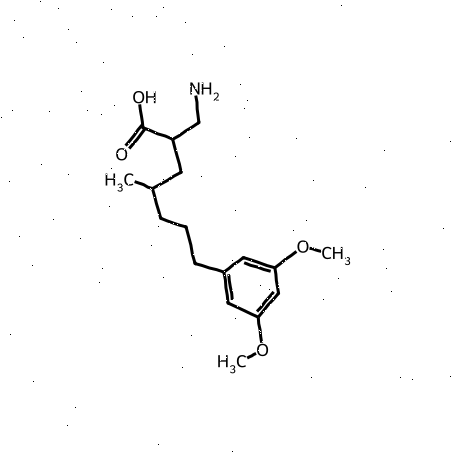 COc1cc(CCCC(C)CC(CN)C(=O)O)cc(OC)c1